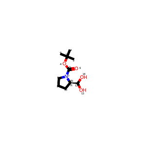 CC(C)(C)OC(=O)N1CCC[C@@H]1C(O)O